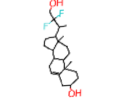 CC(C1CCC2C3CC=C4CC(O)CCC4(C)C3CCC21C)C(F)(F)CO